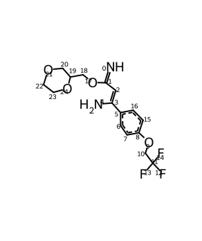 N=C(/C=C(\N)c1ccc(OCC(F)(F)F)cc1)OCC1COCCO1